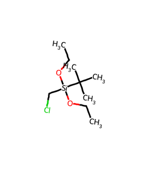 CCO[Si](CCl)(OCC)C(C)(C)C